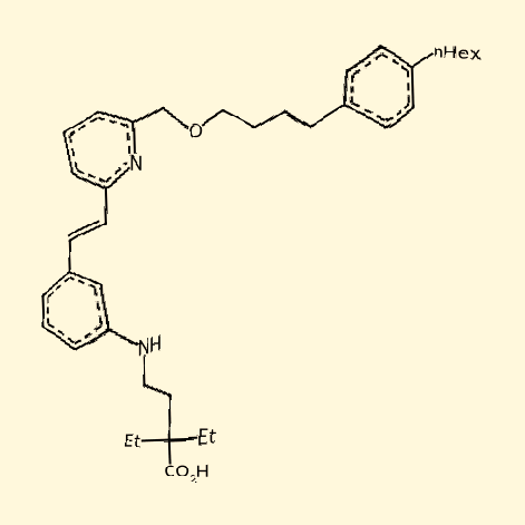 CCCCCCc1ccc(CCCCOCc2cccc(C=Cc3cccc(NCCC(CC)(CC)C(=O)O)c3)n2)cc1